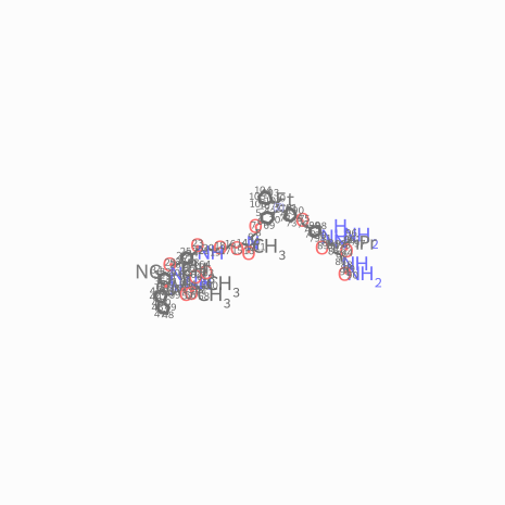 CC/C(=C(/c1ccc(OCCN(C)C(=O)COCCOCCNC(=O)c2ccc(C(=O)N3c4cc(C#N)ccc4N(Cc4c(OC)ccc5ccccc45)C(=O)[C@@H](NC(=O)[C@H](C)N(C)C(=O)OC(C)(C)C)[C@@H]3C)cc2)cc1)c1ccc(OCc2ccc(NC(=O)[C@H](CCCNC(N)=O)NC(=O)[C@@H](N)C(C)C)cc2)cc1)c1ccccc1